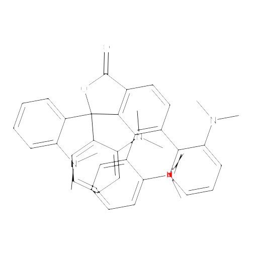 CN(C)c1ccccc1-c1ccc2c(c1-c1ccccc1N(C)C)C(c1ccccc1N(C)C)(c1ccccc1N(C)C)OC2=O